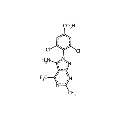 Nc1c2c(C(F)(F)F)nc(C(F)(F)F)nc2nn1-c1c(Cl)cc(C(=O)O)cc1Cl